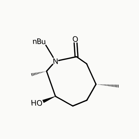 CCCCN1C(=O)C[C@H](C)CC[C@@H](O)[C@@H]1C